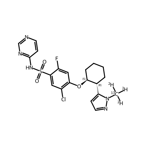 [2H][13C]([2H])([2H])n1nccc1[C@H]1CCCC[C@@H]1Oc1cc(F)c(S(=O)(=O)Nc2ccncn2)cc1Cl